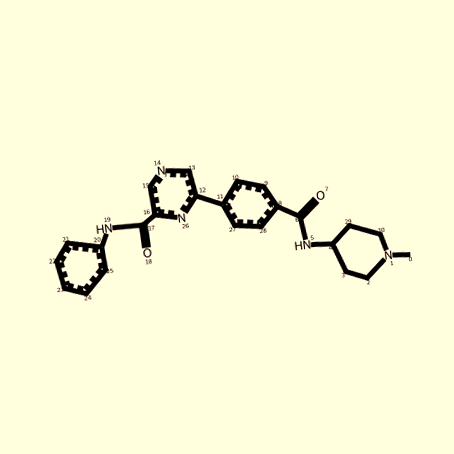 CN1CCC(NC(=O)c2ccc(-c3cncc(C(=O)Nc4ccccc4)n3)cc2)CC1